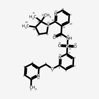 Cc1cccc(COc2cccc(S(=O)(=O)NC(=O)c3cccnc3N3CCC(C)C3(C)C)n2)n1